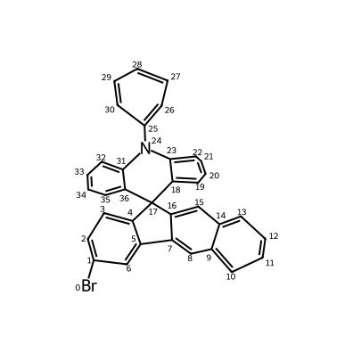 Brc1ccc2c(c1)-c1cc3ccccc3cc1C21c2ccccc2N(c2ccccc2)c2ccccc21